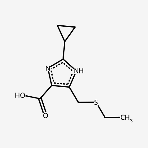 CCSCc1[nH]c(C2CC2)nc1C(=O)O